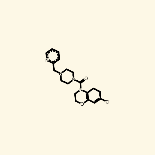 O=C(N1CCN(Cc2ccccn2)CC1)N1CCOC2=C1CCC(Cl)=C2